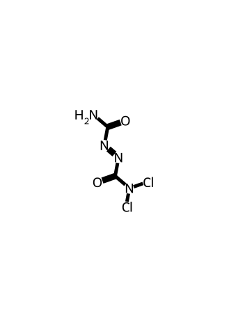 NC(=O)N=NC(=O)N(Cl)Cl